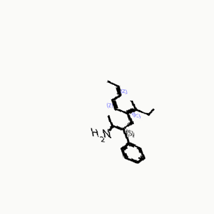 C\C=C/C=C\C(C[C@@H](c1ccccc1)C(C)N)=C(/C)CC